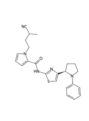 CC(C#N)CCn1cccc1C(=O)Nc1nc([C@H]2CCCN2c2ccccc2)cs1